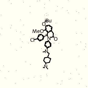 CC[C@@H](C)Oc1ccc2c(c1OC)[C@H](c1ccc(Cl)cc1)N(c1ccc(N(C)CC3CCC(N(C)C)CC3)cc1)C(=O)C2